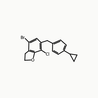 Clc1c(Cc2ccc(C3CC3)cc2)cc(Br)c2c1OCC2